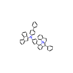 c1ccc(-c2ccc(N(c3ccc(-c4cccc5c(-c6ccccc6)c6ccc7ccccc7n6c45)cc3)c3cc4ccccc4c4ccccc34)cc2)cc1